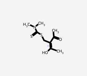 CC(=O)/C(CSC(=S)N(C)C)=C(\C)O